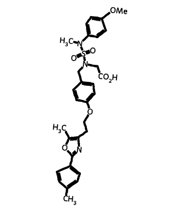 COc1ccc(N(C)S(=O)(=O)N(CC(=O)O)Cc2ccc(OCCc3nc(-c4ccc(C)cc4)oc3C)cc2)cc1